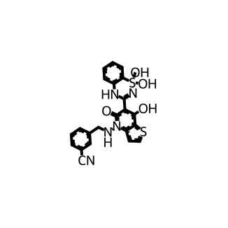 N#Cc1cccc(CNn2c(=O)c(C3=NS(O)(O)c4ccccc4N3)c(O)c3sccc32)c1